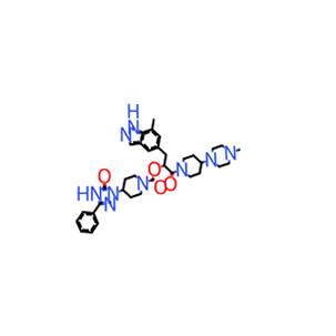 Cc1cc(CC(OC(=O)N2CCC(n3nc(-c4ccccc4)[nH]c3=O)CC2)C(=O)N2CCC(N3CCN(C)CC3)CC2)cc2cn[nH]c12